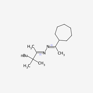 CCCCC(C)(C)/C(C)=N/N=C(\C)C1CCCCCC1